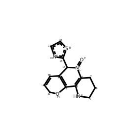 O=[N+]1C2=C(NCCC2)C2=C(C=CCO2)C1c1nccs1